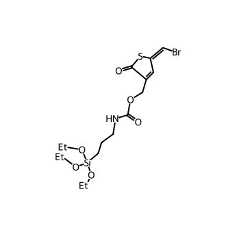 CCO[Si](CCCNC(=O)OCC1=C/C(=C\Br)SC1=O)(OCC)OCC